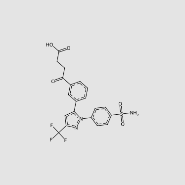 NS(=O)(=O)c1ccc(-n2nc(C(F)(F)F)cc2-c2cccc(C(=O)CCC(=O)O)c2)cc1